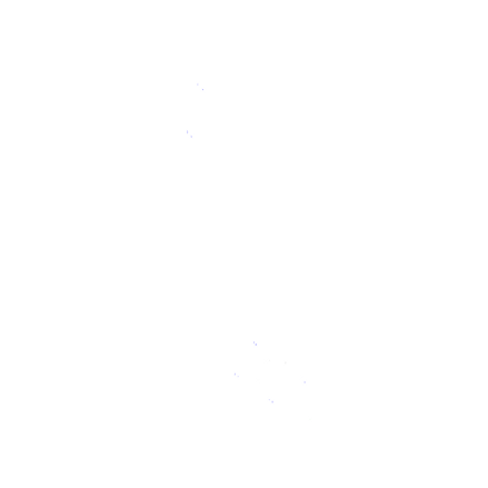 Cc1nc2nc(Cl)nc(Cl)c2n1CCCCCCCCCCN1CCN(C)CC1